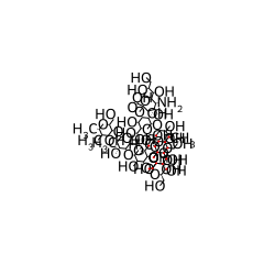 CC1C(O)[C@H](O[C@@H]2OC(CO)[C@H](O)C(O[C@]3(C(=O)O)C[C@@H](O)[C@@H](N)C([C@H](O)[C@H](O)CO)O3)[C@@H]2O)[C@H](CO)O[C@H]1O[C@@H]1C(O)[C@H](O)C(CO)O[C@@H]1OCC1O[C@@H](O[C@@H]2C(CO)O[C@@H](O[C@@H]3C(CO)O[C@@H](C)C(C)[C@H]3O)C(C)[C@H]2O)C(O)[C@@H](O[C@H]2O[C@H](CO)[C@@H](O)C(O)C2O[C@@H]2OC(CO)[C@@H](O)C(O)[C@@H]2C)[C@@H]1O